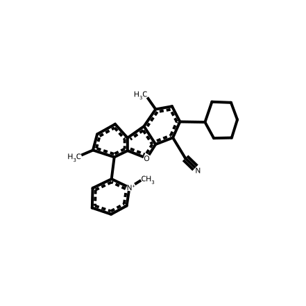 Cc1ccc2c(oc3c(C#N)c(C4CCCCC4)cc(C)c32)c1-c1cccc[n+]1C